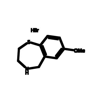 Br.COc1ccc2c(c1)CNCCS2